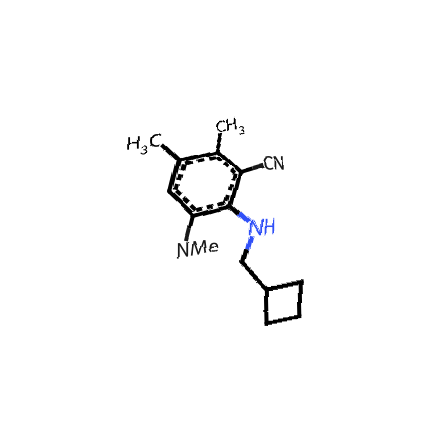 CNc1cc(C)c(C)c(C#N)c1NCC1CCC1